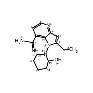 CCc1nc2nccc(C(=N)N)c2n1N1CCCCC1O